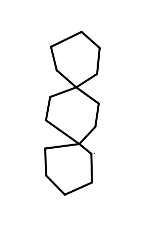 [CH]1CCCCC12CCC1(CCCCC1)CC2